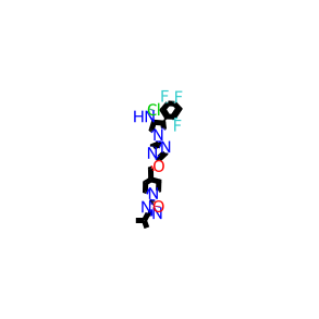 CC(C)c1noc(N2CCC(COc3cnc(N4C[C@H](NCl)[C@@H](C5=CC(F)C(F)C=C5F)C4)cn3)CC2)n1